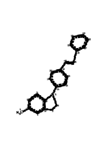 Cc1ccc2c(c1)CCN2c1ccc(/C=C/c2ccccc2)cc1